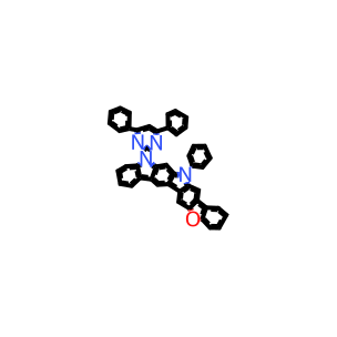 c1ccc(-c2cc(-c3ccccc3)nc(-n3c4ccccc4c4cc5c6cc7oc8ccccc8c7cc6n(-c6ccccc6)c5cc43)n2)cc1